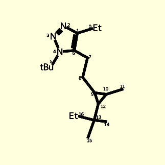 CCc1nnn(C(C)(C)C)c1CCC1C(C)C1C(C)(C)CC